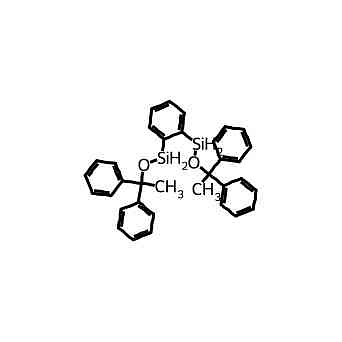 CC(O[SiH2]c1ccccc1[SiH2]OC(C)(c1ccccc1)c1ccccc1)(c1ccccc1)c1ccccc1